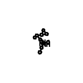 c1ccc(C2=NC(c3ccc(-c4c(-c5ccc6c7ccccc7c7ccccc7c6c5)ccc5ccccc45)cc3)=NC(c3ccc(-c4ccccc4)cc3)N2)cc1